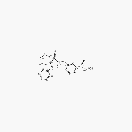 COC(=O)c1cccc(CN2CN(c3ccccc3)C3(CCNCC3)C2=O)c1